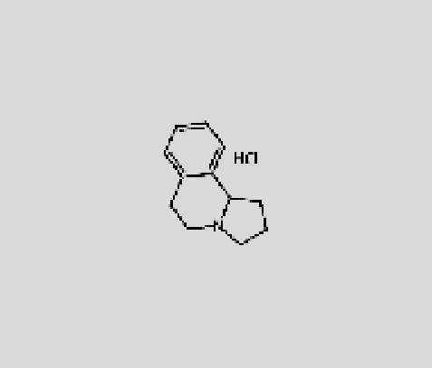 Cl.c1ccc2c(c1)CCN1CCCC21